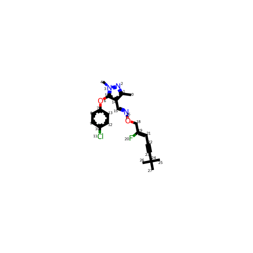 Cc1nn(C)c(Oc2ccc(Cl)cc2)c1C=NOCC(F)=CC#CC(C)(C)C